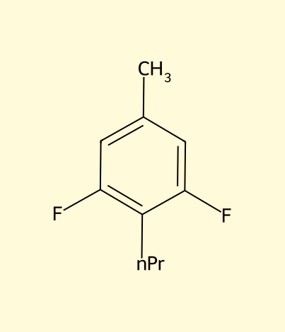 CCCc1c(F)cc(C)cc1F